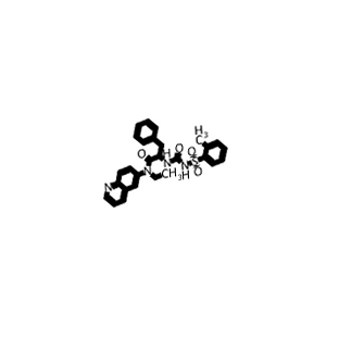 CCN(C(=O)C(Cc1ccccc1)NC(=O)NS(=O)(=O)c1ccccc1C)c1ccc2ncccc2c1